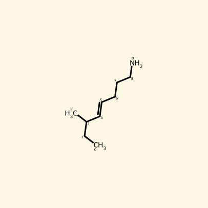 CCC(C)C=CCCCN